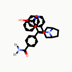 CCN(CC)C(=O)c1ccc(C(=C2CC3CCC(C2)N3Cc2ccnc3ccccc23)c2cccc(O)c2)cc1